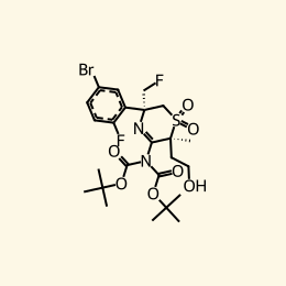 CC(C)(C)OC(=O)N(C(=O)OC(C)(C)C)C1=N[C@@](CF)(c2cc(Br)ccc2F)CS(=O)(=O)[C@@]1(C)CCO